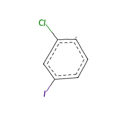 Clc1[c]ccc(I)c1